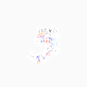 CCS(=O)(=O)Nc1cc(C(C)(C)C)cc(NC(=O)Nc2ccc(OCCN3CCN(CC4CC4)C(=O)C3)c3c2CCC3)c1OC